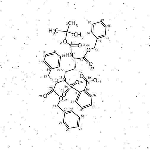 CC(C)(C)OC(=O)N[C@@H](CCN([C@@H](Cc1ccccc1)C(=O)OCc1ccccc1)S(=O)(=O)c1ccccc1[N+](=O)[O-])C(=O)OCc1ccccc1